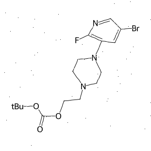 CC(C)(C)OC(=O)OCCN1CCN(c2cc(Br)cnc2F)CC1